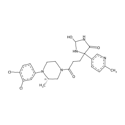 Cc1ccc(C2(CCC(=O)N3CCN(c4ccc(Cl)c(Cl)c4)[C@@H](C)C3)NC(O)NC2=O)cn1